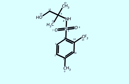 Cc1ccc(S(=O)(=O)NC(C)(C)CO)c(C(F)(F)F)c1